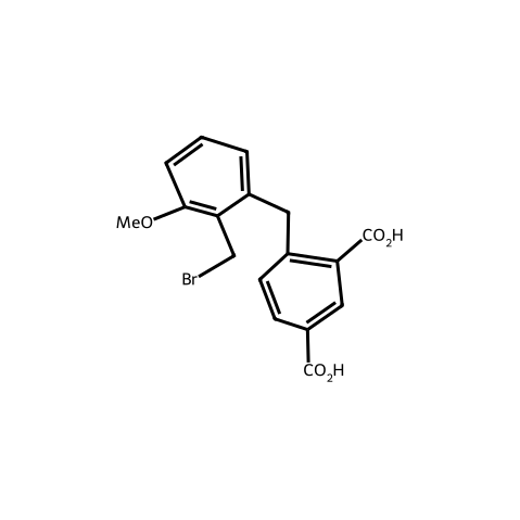 COc1cccc(Cc2ccc(C(=O)O)cc2C(=O)O)c1CBr